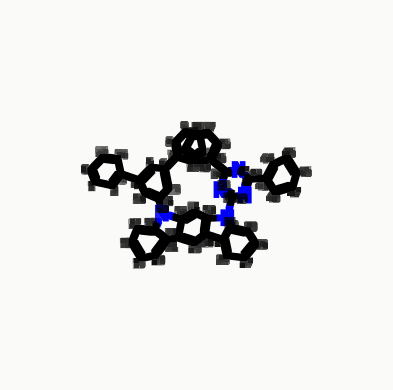 c1ccc(-c2cc(-c3ccccc3)cc(-n3c4ccccc4c4cc5c6ccccc6n(-c6nc(-c7ccccc7)nc(-c7ccccc7)n6)c5cc43)c2)cc1